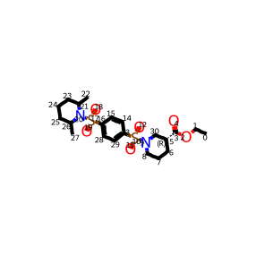 CCOC(=O)[C@@H]1CCCN(S(=O)(=O)c2ccc(S(=O)(=O)N3C(C)CCCC3C)cc2)C1